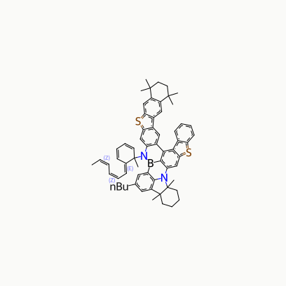 C\C=C/C=C\C=C1/C=CC=CC1(C)N1B2c3cc(CCCC)cc4c3N(c3cc5sc6ccccc6c5c(c32)-c2cc3c(cc21)sc1cc2c(cc13)C(C)(C)CCC2(C)C)C1(C)CCCCC41C